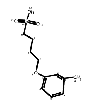 Cc1cccc(OCCCCS(=O)(=O)O)c1